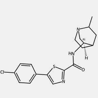 CC1CC2CCN1C[C@@H]2NC(=O)c1ncc(-c2ccc(Cl)cc2)s1